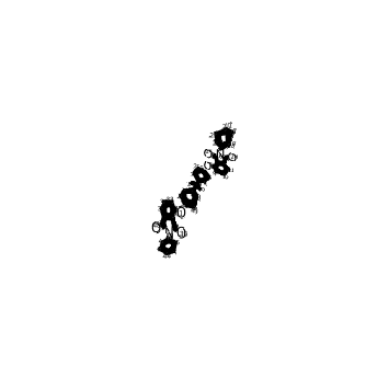 CC(C)(c1ccc(Oc2cccc3c2C(=O)N(c2ccccc2)C3=O)cc1)c1ccc(Oc2cccc3c2C(=O)N(c2ccccc2)C3=O)cc1